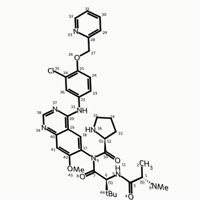 CN[C@@H](C)C(=O)N[C@H](C(=O)N(C(=O)[C@@H]1CCCN1)c1cc2c(Nc3ccc(OCc4ccccn4)c(Cl)c3)ncnc2cc1OC)C(C)(C)C